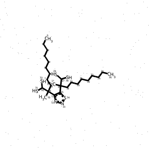 CCCCCCCCCC(C)(c1nnsc1C(C)(CCCCCCCCC)C(S)S)C(S)S